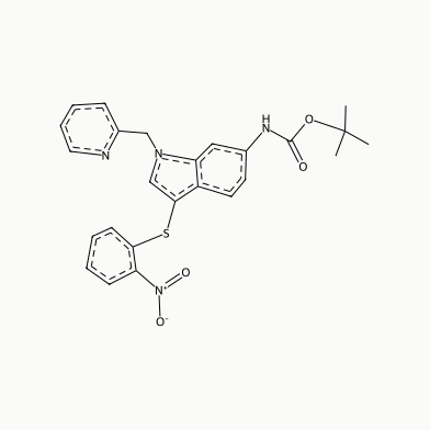 CC(C)(C)OC(=O)Nc1ccc2c(Sc3ccccc3[N+](=O)[O-])cn(Cc3ccccn3)c2c1